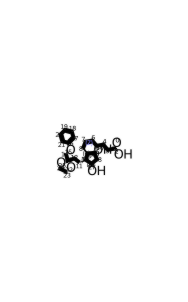 O=C(O)CCC/C=C\C[C@@H]1[C@@H](CCC2(COc3ccccc3)OCCO2)[C@H](O)C[C@H]1O